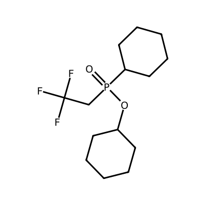 O=P(CC(F)(F)F)(OC1CCCCC1)C1CCCCC1